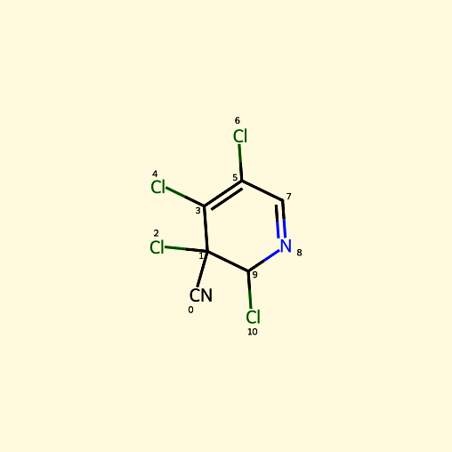 N#CC1(Cl)C(Cl)=C(Cl)C=NC1Cl